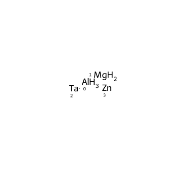 [AlH3].[MgH2].[Ta].[Zn]